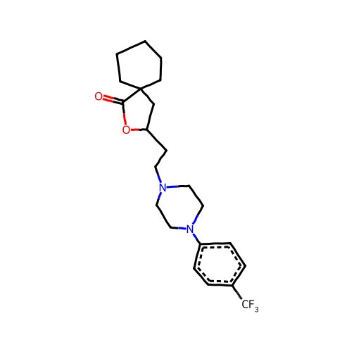 O=C1OC(CCN2CCN(c3ccc(C(F)(F)F)cc3)CC2)CC12CCCCC2